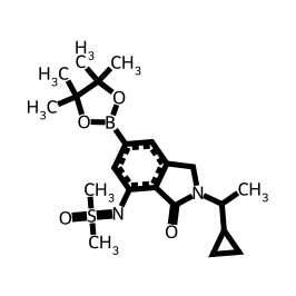 CC(C1CC1)N1Cc2cc(B3OC(C)(C)C(C)(C)O3)cc(N=S(C)(C)=O)c2C1=O